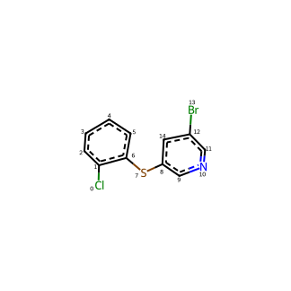 Clc1ccccc1Sc1cncc(Br)c1